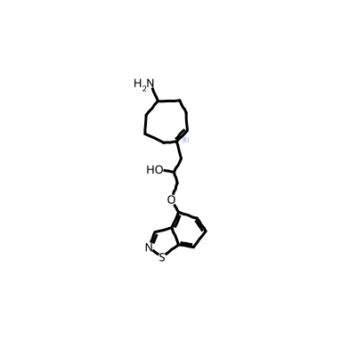 NC1CC/C=C(/CC(O)COc2cccc3sncc23)CCC1